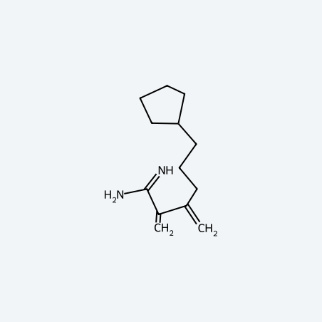 C=C(CCCC1CCCC1)C(=C)C(=N)N